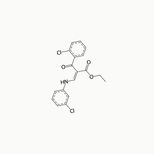 CCOC(=O)/C(=C/Nc1cccc(Cl)c1)C(=O)c1ccccc1Cl